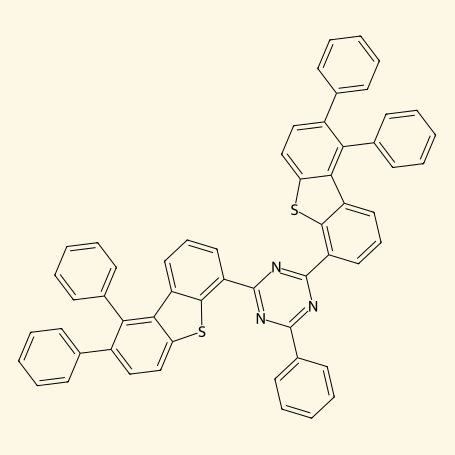 c1ccc(-c2nc(-c3cccc4c3sc3ccc(-c5ccccc5)c(-c5ccccc5)c34)nc(-c3cccc4c3sc3ccc(-c5ccccc5)c(-c5ccccc5)c34)n2)cc1